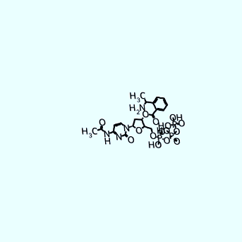 CC(=O)Nc1ccn([C@H]2C[C@@H](OC(=O)c3ccccc3C(C)N)C(COP(=O)(O)OP(=O)(O)OP(=O)(O)O)O2)c(=O)n1